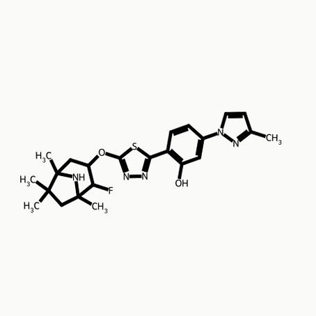 Cc1ccn(-c2ccc(-c3nnc(OC4CC5(C)NC(C)(CC5(C)C)C4F)s3)c(O)c2)n1